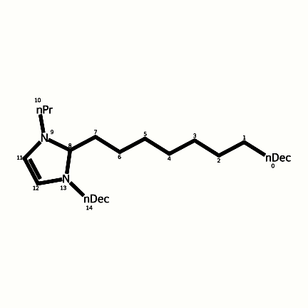 CCCCCCCCCCCCCCCCCC1N(CCC)C=CN1CCCCCCCCCC